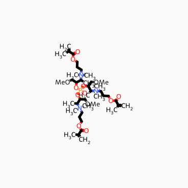 C=C(C)C(=O)OCCC[N+](C)(C)C(C)C(COC)OP(=O)(OC(COC)C(C)[N+](C)(C)CCCOC(=O)C(=C)C)OC(COC)C(C)[N+](C)(C)CCCOC(=O)C(=C)C